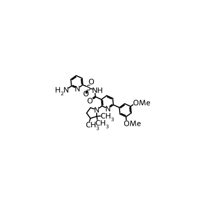 COc1cc(OC)cc(-c2ccc(C(=O)NS(=O)(=O)c3cccc(N)n3)c(N3CCC(C)C3(C)C)n2)c1